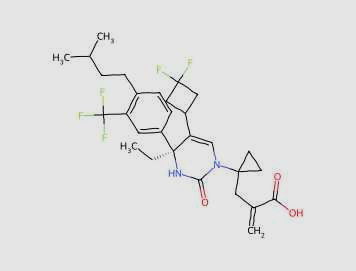 C=C(CC1(N2C=C(C3CC(F)(F)C3)[C@](CC)(c3ccc(CCC(C)C)c(C(F)(F)F)c3)NC2=O)CC1)C(=O)O